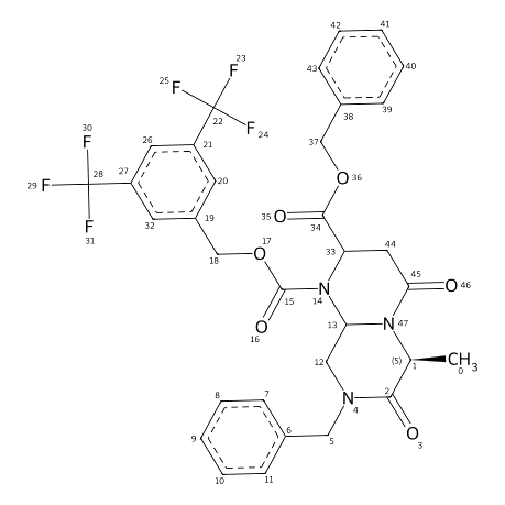 C[C@H]1C(=O)N(Cc2ccccc2)CC2N(C(=O)OCc3cc(C(F)(F)F)cc(C(F)(F)F)c3)C(C(=O)OCc3ccccc3)CC(=O)N21